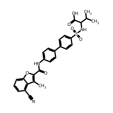 Cc1c(C(=O)Nc2ccc(-c3ccc(S(=O)(=O)NC(C(=O)O)C(C)C)cc3)cc2)oc2cccc(C#N)c12